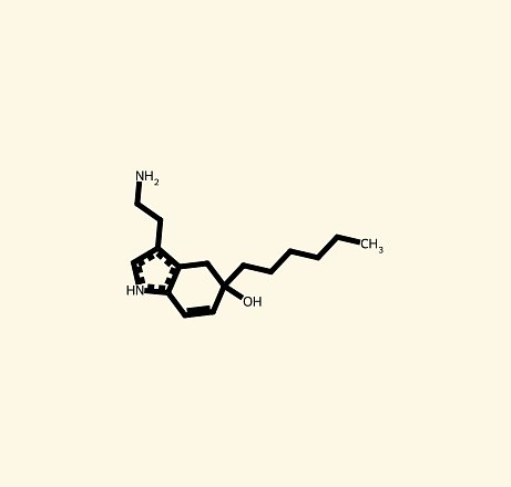 CCCCCCC1(O)C=Cc2[nH]cc(CCN)c2C1